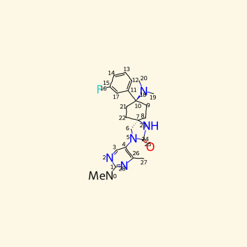 CNc1ncc(N2C[C@]3(CC[C@](c4cccc(F)c4)(N(C)C)CC3)NC2=O)c(C)n1